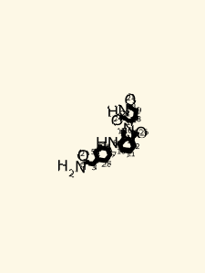 NC(=O)CC1CCC(Nc2cccc3c2CN(C2CCC(=O)NC2=O)C3=O)CC1